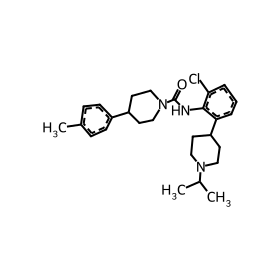 Cc1ccc(C2CCN(C(=O)Nc3c(Cl)cccc3C3CCN(C(C)C)CC3)CC2)cc1